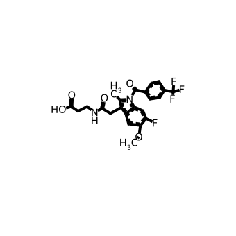 COc1cc2c(CC(=O)NCCC(=O)O)c(C)n(C(=O)c3ccc(C(F)(F)F)cc3)c2cc1F